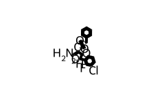 [2H]C1(c2cccc(Cl)c2F)OC(N)=C(OS(=O)(=O)Cc2ccccc2)C1=O